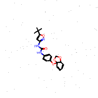 CC(C)(C)c1cc(NC(=O)Nc2ccc(OC34C=CC=CC3OCO4)cc2)no1